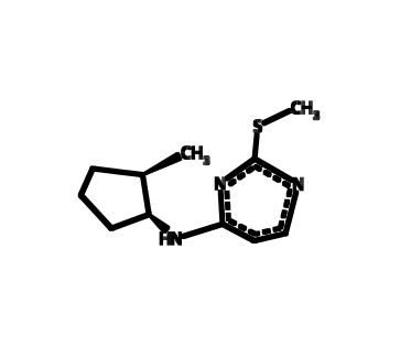 CSc1nccc(N[C@H]2CCC[C@H]2C)n1